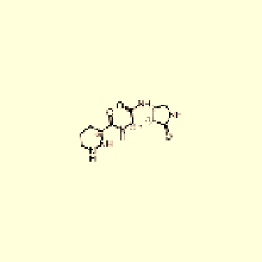 NC(=O)[C@H](C[C@@H]1CCNC1=O)NC(=O)[C@@H]1CCCNN1